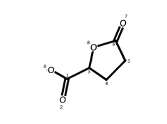 [O]C(=O)C1CCC(=O)O1